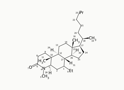 CCC1C[C@H]2N(C)C(=O)CC[C@]2(C)[C@H]2CC[C@]3(C)[C@@H]([C@H](C)CCCC(C)C)CC[C@H]3[C@H]12